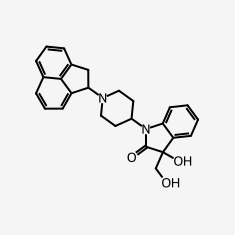 O=C1N(C2CCN(C3Cc4cccc5cccc3c45)CC2)c2ccccc2C1(O)CO